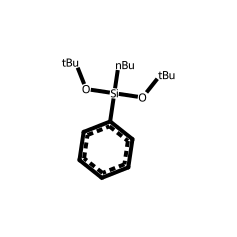 CCCC[Si](OC(C)(C)C)(OC(C)(C)C)c1ccccc1